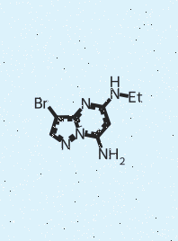 CCNc1cc(N)n2ncc(Br)c2n1